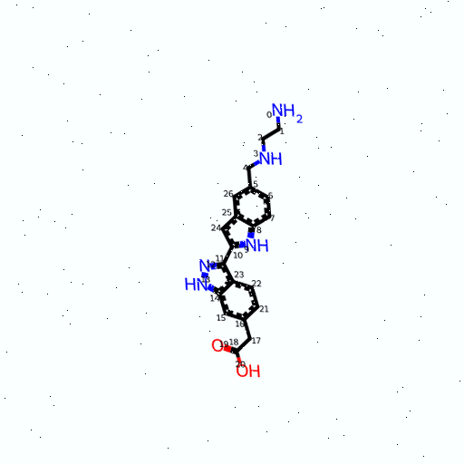 NCCNCc1ccc2[nH]c(-c3n[nH]c4cc(CC(=O)O)ccc34)cc2c1